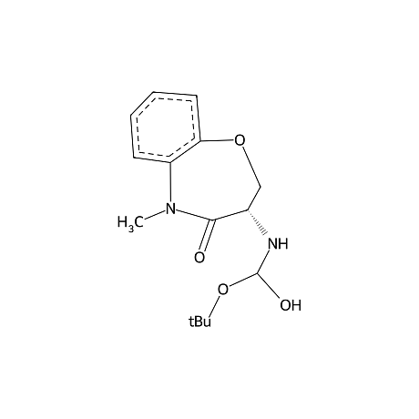 CN1C(=O)[C@@H](NC(O)OC(C)(C)C)COc2ccccc21